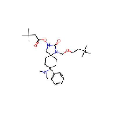 CN(C)C1(c2ccccc2)CCC2(CC1)CN(OC(=O)CC(C)(C)C)C(=O)N2COCC[Si](C)(C)C